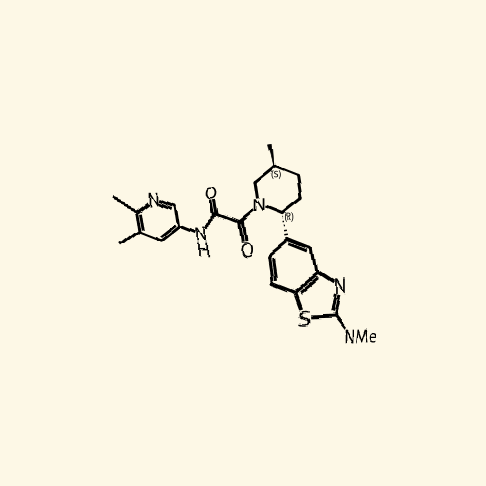 CNc1nc2cc([C@H]3CC[C@H](C)CN3C(=O)C(=O)Nc3cnc(C)c(C)c3)ccc2s1